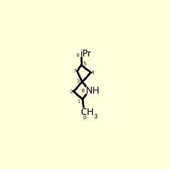 CC1CC2(CC(C(C)C)C2)N1